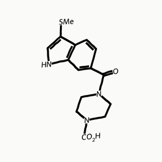 CSc1c[nH]c2cc(C(=O)N3CCN(C(=O)O)CC3)ccc12